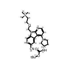 CC(C)(C)OC(=O)N[C@H]1CCN(c2ccnc3c2c2cc(C#N)ncc2n3COCC[Si](C)(C)C)C1